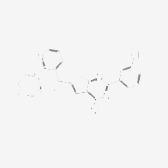 Cc1cccc(-c2nc(N)c3cc(C(O)c4cccnc4N4CCOCC4)sc3n2)c1